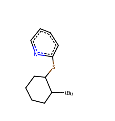 CC(C)(C)C1CCCCC1Sc1ccccn1